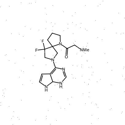 CNCC(=O)N1CCCC12CN(C1=C3C=CNC3NC=N1)CC2(F)F